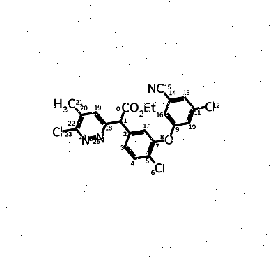 CCOC(=O)C(c1ccc(Cl)c(Oc2cc(Cl)cc(C#N)c2)c1)c1cc(C)c(Cl)nn1